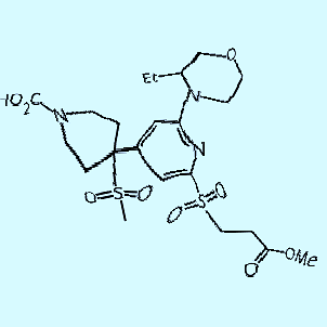 CCC1COCCN1c1cc(C2(S(C)(=O)=O)CCN(C(=O)O)CC2)cc(S(=O)(=O)CCC(=O)OC)n1